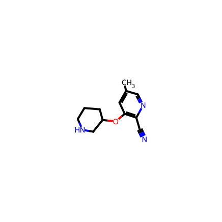 Cc1cnc(C#N)c(OC2CCCNC2)c1